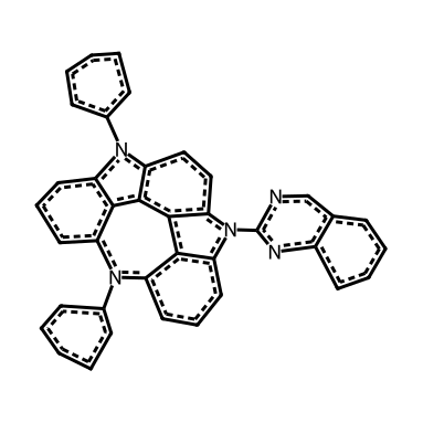 c1ccc(-n2c3ccc4c5c3c3c2cccc3n(-c2ccccc2)c2cccc(c52)n4-c2ncc3ccccc3n2)cc1